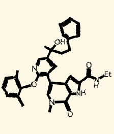 CCNC(=O)c1cc2c(-c3cc(C(C)(O)CCc4ccccc4)cnc3Oc3c(C)cccc3C)cn(C)c(=O)c2[nH]1